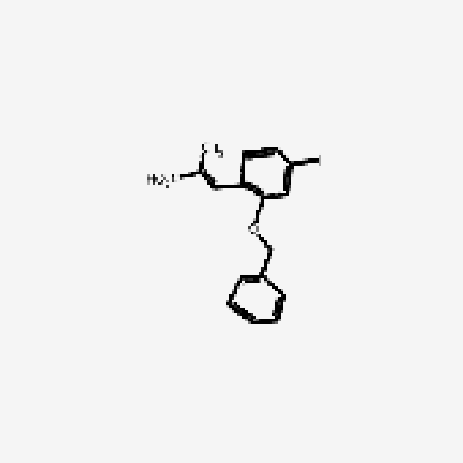 CC(=Cc1ccc(I)cc1OCc1ccccc1)C(=O)O